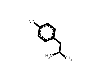 CC(N)Cc1ccc(C#N)cc1